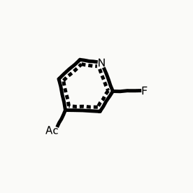 CC(=O)c1ccnc(F)c1